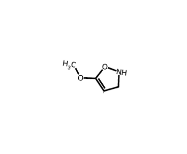 COC1=[C]CNO1